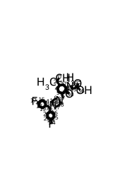 CC(C)c1ccc(CN2CCN(C(c3ccc(F)cc3)c3ccc(F)cc3)CC2)c(=O)c(NCC(=O)O)c1